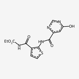 CCOC(=O)NC(=O)c1ccsc1NC(=O)c1cc(O)ncn1